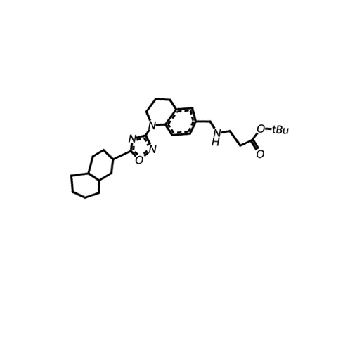 CC(C)(C)OC(=O)CCNCc1ccc2c(c1)CCCN2c1noc(C2CCC3CCCCC3C2)n1